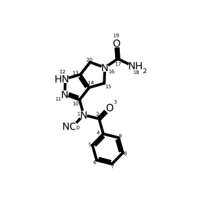 N#CN(C(=O)c1ccccc1)c1n[nH]c2c1CN(C(N)=O)C2